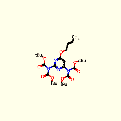 CC=CCOc1cc(N(C(=O)OC(C)(C)C)C(=O)OC(C)(C)C)nc(N(C(=O)OC(C)(C)C)C(=O)OC(C)(C)C)n1